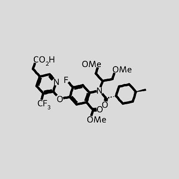 COCC(COC)N(c1cc(F)c(Oc2ncc(CC(=O)O)cc2C(F)(F)F)cc1C(=O)OC)C(=O)[C@H]1CC[C@H](C)CC1